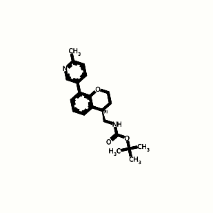 Cc1ccc(-c2cccc3c2OCC[C@H]3CNC(=O)OC(C)(C)C)cn1